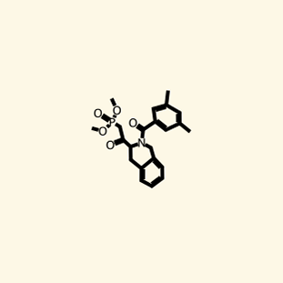 COP(=O)(CC(=O)C1Cc2ccccc2CN1C(=O)c1cc(C)cc(C)c1)OC